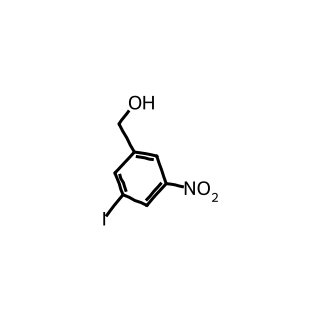 O=[N+]([O-])c1cc(I)cc(CO)c1